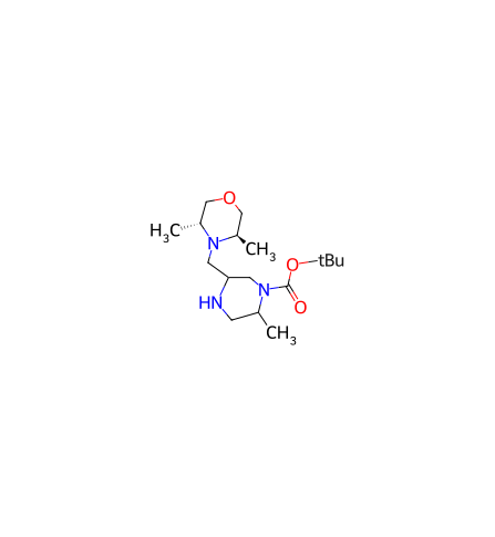 CC1CNC(CN2[C@H](C)COC[C@H]2C)CN1C(=O)OC(C)(C)C